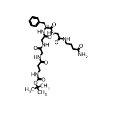 CC(C)(C)OC(=O)NCCC(=O)NCC(=O)NCC(=O)N[C@@H](Cc1ccccc1)C(=O)NCC(=O)NCCCC(N)=O